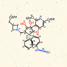 COCC1CN(C[C@H]2[C@@H](O)[C@@]3(O)c4c(cc(OC)nc4OC)O[C@@]3(c3ccc(N=[N+]=[N-])cc3)[C@@H]2c2ccccc2)C1